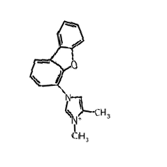 Cc1cn(-c2cccc3c2oc2ccccc23)c[n+]1C